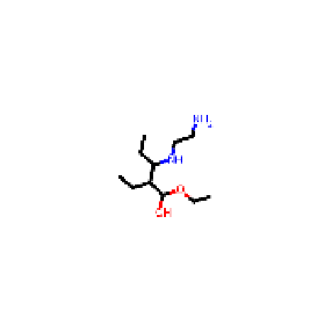 CCOC(O)C(CC)C(CC)NCCN